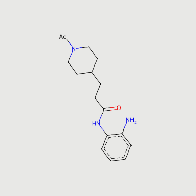 CC(=O)N1CCC(CCC(=O)Nc2ccccc2N)CC1